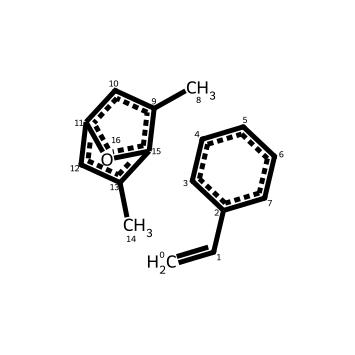 C=Cc1ccccc1.Cc1cc2cc(C)c1o2